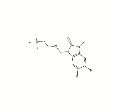 Cn1c(=O)n(COCC[Si](C)(C)C)c2cc(F)c(Br)cc21